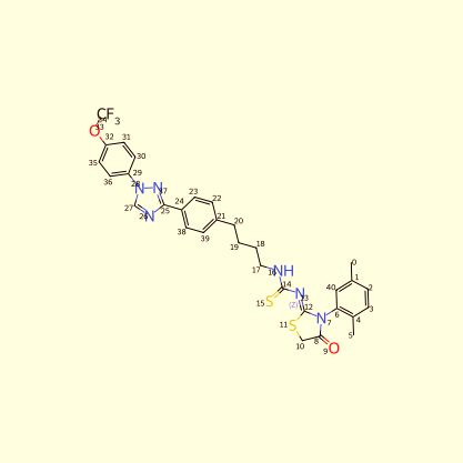 Cc1ccc(C)c(N2C(=O)CS/C2=N\C(=S)NCCCCc2ccc(-c3ncn(-c4ccc(OC(F)(F)F)cc4)n3)cc2)c1